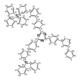 c1ccc(-c2cccc(-c3ccc(-c4nc(-c5ccc(-c6cccc(-c7cccc([Si](c8ccccc8)(c8ccccc8)c8ccccc8)c7)c6)cc5)nc(-c5ccc(-c6cccc(-n7c8ccccc8c8ccccc87)c6)cc5)n4)cc3)c2)cc1